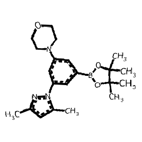 Cc1cc(C)n(-c2cc(B3OC(C)(C)C(C)(C)O3)cc(N3CCOCC3)c2)n1